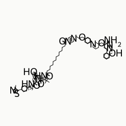 Cc1ncsc1-c1ccc([C@H](C)NC(=O)[C@@H]2C[C@@H](O)CN2C(=O)[C@@H](NC(=O)CCCCCCCCCCCCC(=O)N2CCN(CCOc3ccc(N4CCCC(Oc5cc(-c6ccccc6O)nnc5N)C4)cc3)CC2)C(C)(C)C)cc1